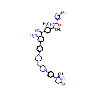 C=C1NC(=O)CCN1c1ccc(N2CCC(CN3CCN(c4ccc(-c5ccc(C(=N)c6ccc([C@@H](C)NC(=O)c7noc(C(C)(C)C)n7)c(C)c6)c(N)n5)cc4)CC3)CC2)cc1